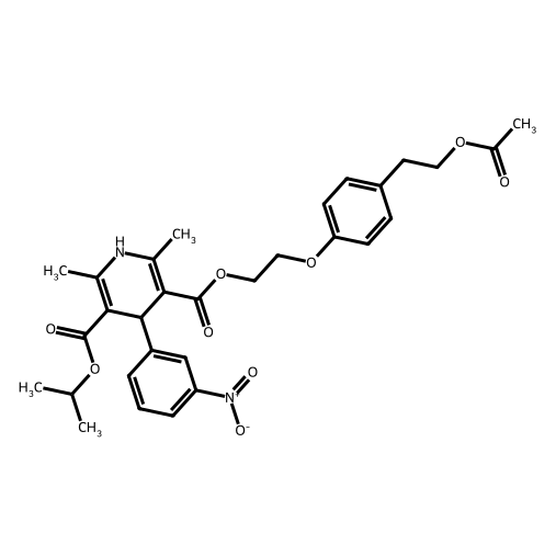 CC(=O)OCCc1ccc(OCCOC(=O)C2=C(C)NC(C)=C(C(=O)OC(C)C)C2c2cccc([N+](=O)[O-])c2)cc1